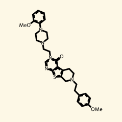 COc1ccc(CCN2CCc3c(sc4ncn(CCN5CCN(c6ccccc6OC)CC5)c(=O)c34)C2)cc1